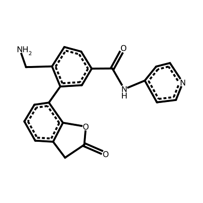 NCc1ccc(C(=O)Nc2ccncc2)cc1-c1cccc2c1OC(=O)C2